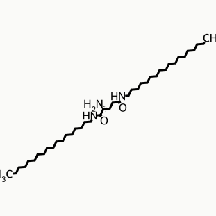 CCCCCCCCCCCCCCCCCCNC(=O)CC[C@H](N)C(=O)NCCCCCCCCCCCCCCCCCC